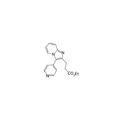 CCOC(=O)CCc1nc2ccccn2c1-c1ccncc1